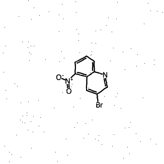 O=[N+]([O-])c1cccc2ncc(Br)cc12